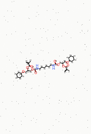 C=C(C)C(=O)OC(COC(=O)NCCCCCCNC(=O)OCC(COC1CCCCC1)OC(=O)C(=C)C)COC1CCCCC1